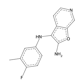 Cc1cc(Nc2c(N)oc3cnccc23)ccc1F